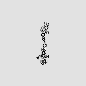 O=C1CC[C@@H](N2C(=O)c3ccc(N4CC(F)(CN5CCC(n6cc7cc(NC(=O)c8cnn9cccnc89)c(OCC8CC8)cc7n6)CC5)C4)cc3C2=O)C(=O)N1